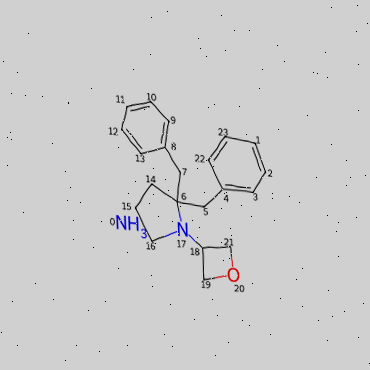 N.c1ccc(CC2(Cc3ccccc3)CCCN2C2COC2)cc1